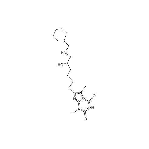 Cn1c(CCCCC(O)CNCC2CCCCC2)nc2c1c(=O)[nH]c(=O)n2C